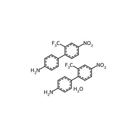 Nc1ccc(-c2ccc([N+](=O)[O-])cc2C(F)(F)F)cc1.Nc1ccc(-c2ccc([N+](=O)[O-])cc2C(F)(F)F)cc1.O